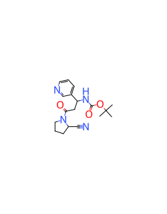 CC(C)(C)OC(=O)NC(CC(=O)N1CCCC1C#N)c1cccnc1